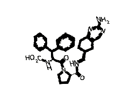 Nc1ncc2c(n1)CCC(CNC(=O)[C@@H]1CCCN1C(=O)[C@H](NC(=O)O)C(c1ccccc1)c1ccccc1)C2